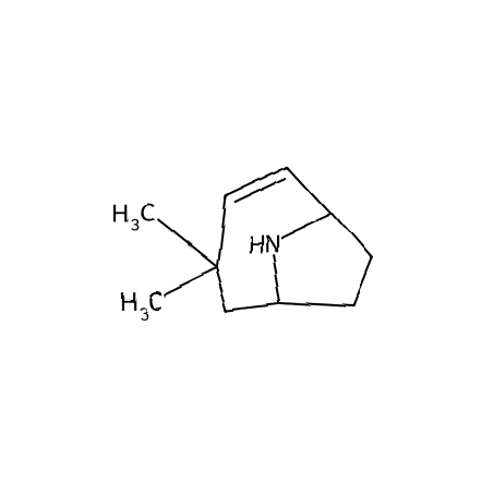 CC1(C)C=CC2CCC(C1)N2